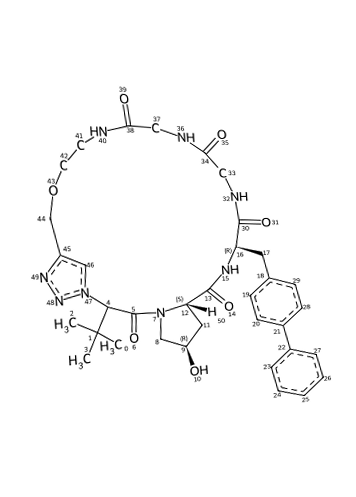 CC(C)(C)C1C(=O)N2C[C@H](O)C[C@H]2C(=O)N[C@H](Cc2ccc(-c3ccccc3)cc2)C(=O)NCC(=O)NCC(=O)NCCOCc2cn1nn2